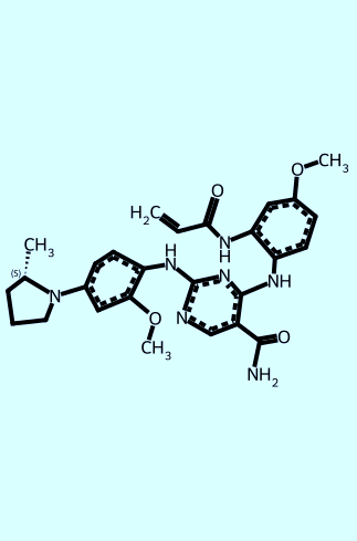 C=CC(=O)Nc1cc(OC)ccc1Nc1nc(Nc2ccc(N3CCC[C@@H]3C)cc2OC)ncc1C(N)=O